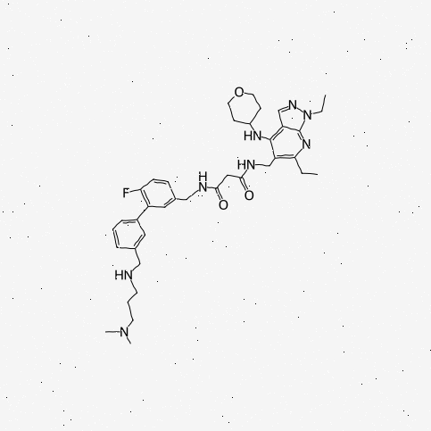 CCc1nc2c(cnn2CC)c(NC2CCOCC2)c1CNC(=O)CC(=O)NCc1ccc(F)c(-c2cccc(CNCCCN(C)C)c2)c1